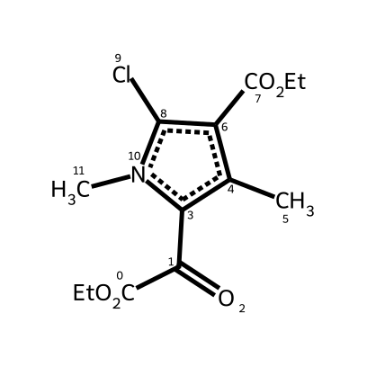 CCOC(=O)C(=O)c1c(C)c(C(=O)OCC)c(Cl)n1C